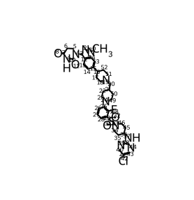 Cn1nc(N2CCC(=O)NC2=O)c2ccc(C3CCN(CC4CCN(c5cccc(S(=O)(=O)N6CCC(Nc7ncc(Cl)cn7)CC6)c5F)CC4)CC3)cc21